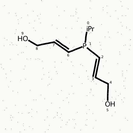 CC(C)P(/C=C/CO)/C=C/CO